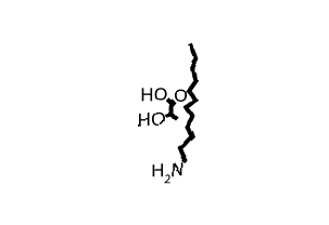 CC(O)C(=O)O.CCCCCCCCCCCCN